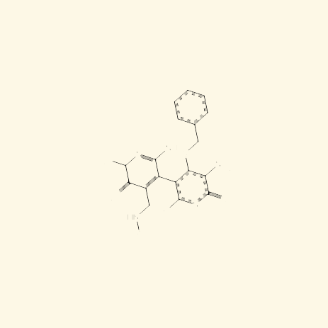 C=C1C(CNC=O)=C(c2c(C)[nH]c(=O)c(N)c2SCc2ccccc2)C(N)=NC1C